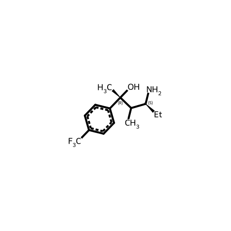 CC[C@H](N)C(C)[C@@](C)(O)c1ccc(C(F)(F)F)cc1